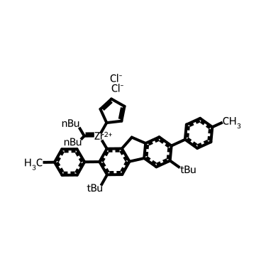 CCCC[C](CCCC)=[Zr+2]([c]1c2c(cc(C(C)(C)C)c1-c1ccc(C)cc1)-c1cc(C(C)(C)C)c(-c3ccc(C)cc3)cc1C2)[CH]1C=CC=C1.[Cl-].[Cl-]